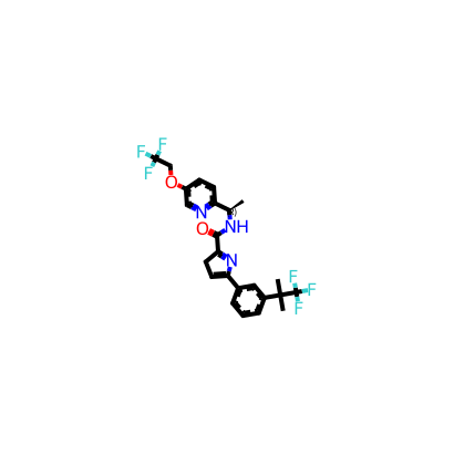 C[C@@H](NC(=O)C1=NC(c2cccc(C(C)(C)C(F)(F)F)c2)=CC1)c1ccc(OCC(F)(F)F)cn1